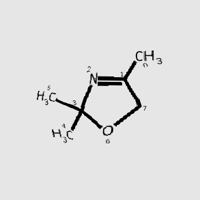 CC1=NC(C)(C)OC1